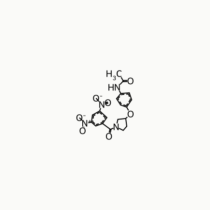 CC(=O)Nc1ccc(OC2CCN(C(=O)c3cc([N+](=O)[O-])cc([N+](=O)[O-])c3)C2)cc1